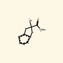 COC(=O)C1(C(C)C)Cc2ccccc2C1